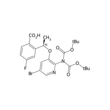 C[C@@H](Oc1cc(Br)cnc1N(C(=O)OC(C)(C)C)C(=O)OC(C)(C)C)c1cc(F)ccc1C(=O)O